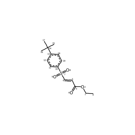 CCOC(=O)C=CS(=O)(=O)c1ccc(C(C)(C)C)cc1